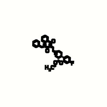 CCOC(=O)[C@@H]1CN(CCn2c(=O)c3ccccc3n(Cc3ccccc3)c2=O)CC[C@@H]1c1ccc(F)cc1